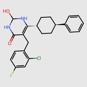 O=C1NC(O)NC([C@H]2CC[C@H](c3ccccc3)CC2)=C1Cc1ccc(F)cc1Cl